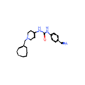 N#Cc1ccc(NC(=O)NC2CCN(C/C3=C/CCCCCC3)CC2)cc1